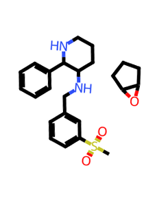 C1CC2OC2C1.CS(=O)(=O)c1cccc(CNC2CCCNC2c2ccccc2)c1